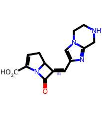 O=C(O)C1=CCC2/C(=C\c3cn4c(n3)CNCC4)C(=O)N12